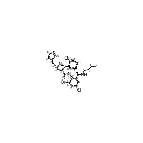 CCCCNC(=O)c1cc(Cl)cc(Br)c1NC(=O)c1cc(Oc2ccsc2)nn1-c1ncccc1Cl